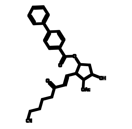 CC(=O)OC1C(O)CC(OC(=O)c2ccc(-c3ccccc3)cc2)C1C=CC(=O)CCCCC#N